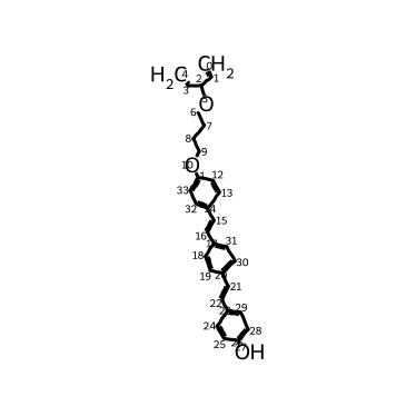 C=CC(C=C)OCCCCOc1ccc(/C=C/c2ccc(/C=C/c3ccc(O)cc3)cc2)cc1